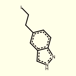 ICCc1ccc2n[nH]cc2c1